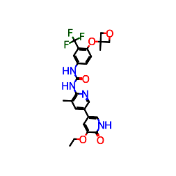 CCOc1cc(-c2cnc(NC(=O)Nc3ccc(OC4(C)COC4)c(C(F)(F)F)c3)c(C)c2)c[nH]c1=O